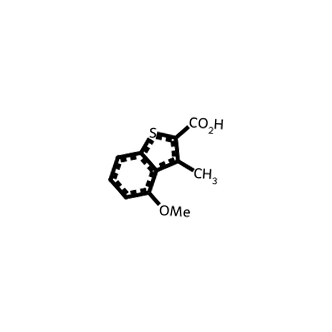 COc1cccc2sc(C(=O)O)c(C)c12